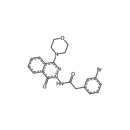 O=C(Cc1cccc(Br)c1)Nn1nc(N2CCOCC2)c2ccccc2c1=O